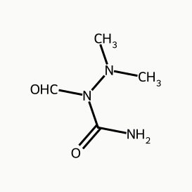 CN(C)N(C=O)C(N)=O